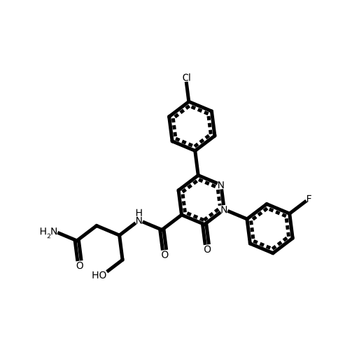 NC(=O)CC(CO)NC(=O)c1cc(-c2ccc(Cl)cc2)nn(-c2cccc(F)c2)c1=O